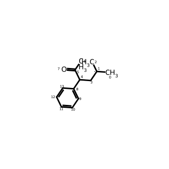 C[C](C)CC(C(C)=O)c1ccccc1